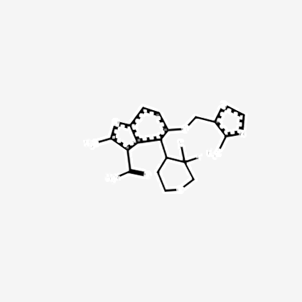 Cc1ncsc1COc1ccc2oc(C)c(C(N)=O)c2c1C1CCOCC1(F)F